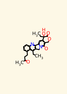 CCc1c2c(nc3cccc(CCC(C)=O)c13)-c1cc3c(c(=O)n1C2)COC(=O)C3(O)CC